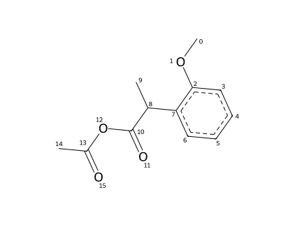 COc1ccccc1C(C)C(=O)OC(C)=O